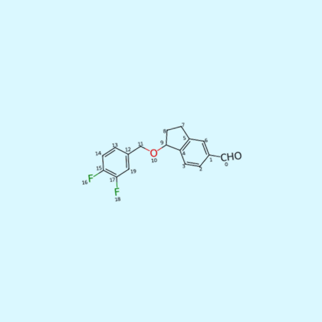 O=Cc1ccc2c(c1)CCC2OCc1ccc(F)c(F)c1